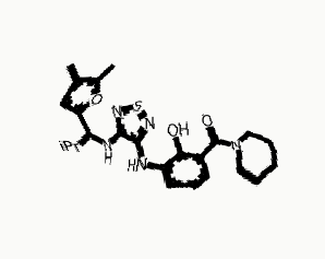 Cc1cc(C(Nc2nsnc2Nc2cccc(C(=O)N3CCCCC3)c2O)C(C)C)oc1C